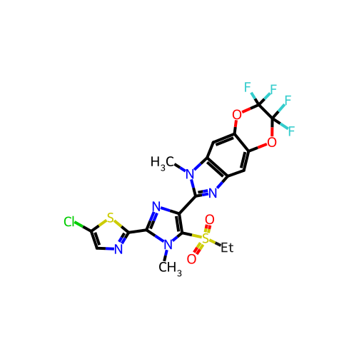 CCS(=O)(=O)c1c(-c2nc3cc4c(cc3n2C)OC(F)(F)C(F)(F)O4)nc(-c2ncc(Cl)s2)n1C